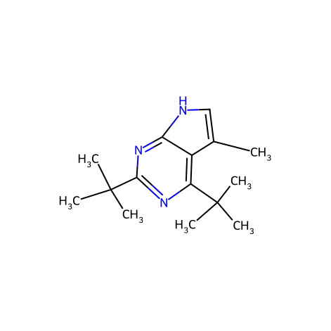 Cc1c[nH]c2nc(C(C)(C)C)nc(C(C)(C)C)c12